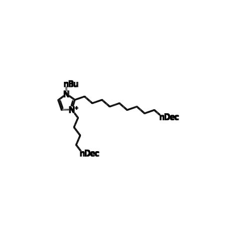 CCCCCCCCCCCCCCCCCCCc1n(CCCC)cc[n+]1CCCCCCCCCCCCCC